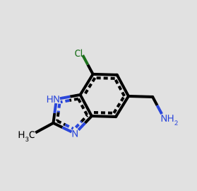 Cc1nc2cc(CN)cc(Cl)c2[nH]1